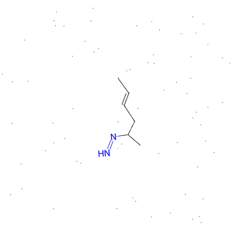 CC=CCC(C)N=N